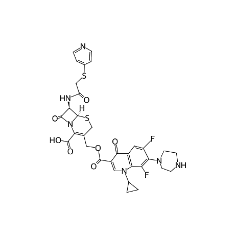 O=C(CSc1ccncc1)N[C@@H]1C(=O)N2C(C(=O)O)=C(COC(=O)c3cn(C4CC4)c4c(F)c(N5CCNCC5)c(F)cc4c3=O)CS[C@H]12